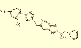 CN(Cc1ccccc1)c1nc2cnn(Cc3cc(-c4ccc(C(F)(F)F)cc4C(F)(F)F)no3)cc-2n1